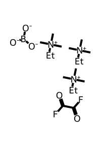 CC[N+](C)(C)C.CC[N+](C)(C)C.CC[N+](C)(C)C.O=C(F)C(=O)F.[O-]B([O-])[O-]